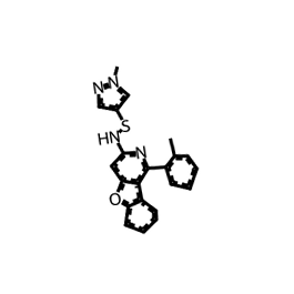 Cc1ccccc1-c1nc(NSc2cnn(C)c2)cc2oc3ccccc3c12